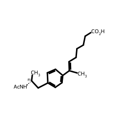 CC(=O)N[C@H](C)Cc1ccc(C(C)=CCCCCC(=O)O)cc1